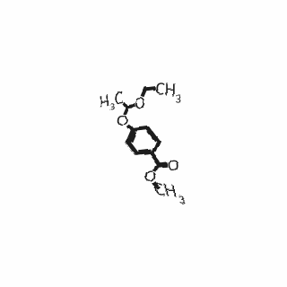 CCOC(C)Oc1ccc(C(=O)OC)cc1